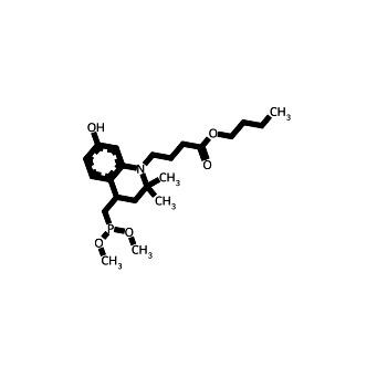 CCCCOC(=O)CCCN1c2cc(O)ccc2C(CP(OC)OC)CC1(C)C